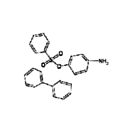 Nc1ccc(OS(=O)(=O)c2ccccc2)cc1.c1ccc(-c2ccccc2)cc1